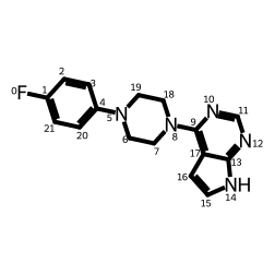 Fc1ccc(N2CCN(c3ncnc4[nH]ccc34)CC2)cc1